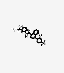 CC(C)(C)c1ccc2nc(-c3ccc(-c4ncc(C(F)(F)F)cc4Cl)c4ccccc34)[nH]c2c1